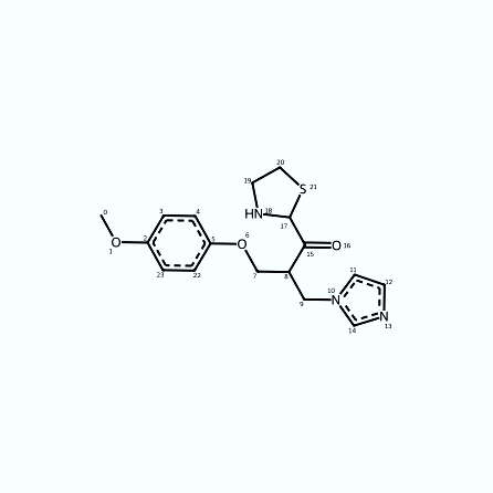 COc1ccc(OCC(Cn2ccnc2)C(=O)C2NCCS2)cc1